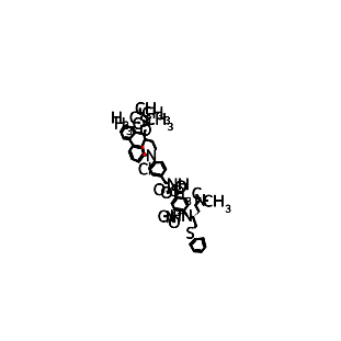 CN(C)CC[C@H](CSc1ccccc1)Nc1ccc(S(=O)(=O)NC(=O)c2ccc(N3CCC(C(O[Si](C)(C)C(C)(C)C)c4ccccc4-c4ccc(Cl)cc4)CC3)cc2)cc1[N+](=O)[O-]